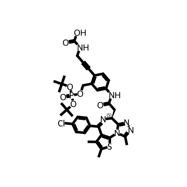 Cc1sc2c(c1C)C(c1ccc(Cl)cc1)=N[C@@H](CC(=O)Nc1ccc(C#CCNC(=O)O)c(COP(=O)(OC(C)(C)C)OC(C)(C)C)c1)c1nnc(C)n1-2